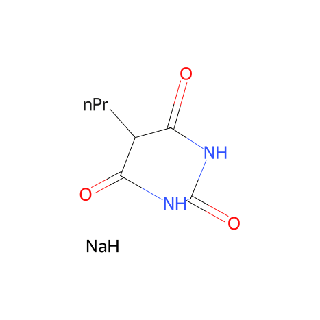 CCCC1C(=O)NC(=O)NC1=O.[NaH]